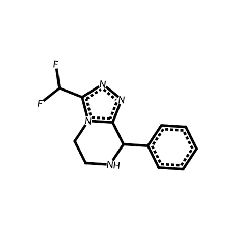 FC(F)c1nnc2n1CCNC2c1ccccc1